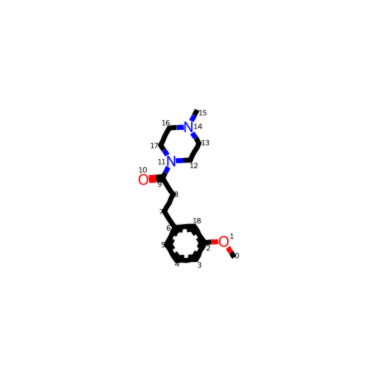 COc1cccc(CCC(=O)N2CCN(C)CC2)c1